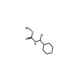 CCC(NC(=O)OC(C)(C)C)C1CCOCC1